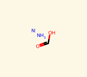 N.O=CO.[N]